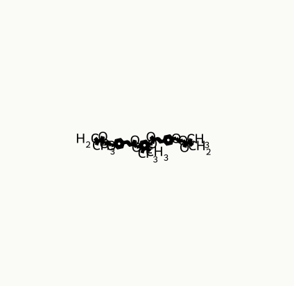 C=C(C)C(=O)OCOc1ccc(C=CC(=O)Oc2ccc(OC(=O)C=Cc3ccc(OCOC(=O)C(=C)C)cc3)c(C(F)(F)F)c2C)cc1